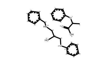 CC(Oc1ccccc1)C(=O)O.OC(CNCc1ccccc1)COc1ccccc1